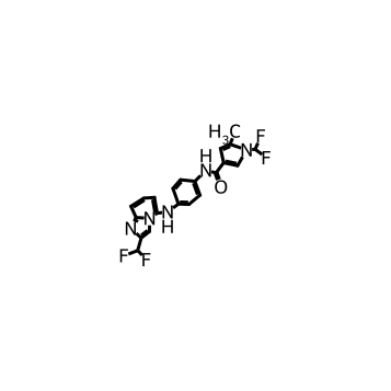 Cc1cc(C(=O)Nc2ccc(Nc3cccc4nc(C(F)F)cn34)cc2)cn1C(F)F